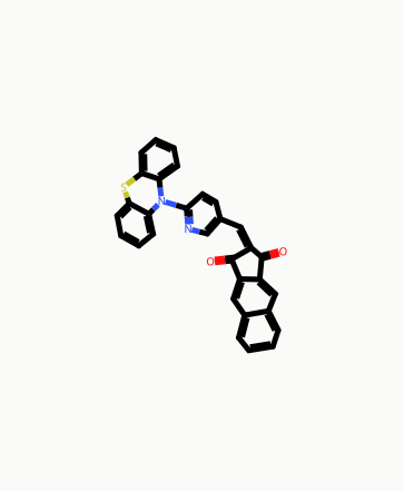 O=C1C(=Cc2ccc(N3c4ccccc4Sc4ccccc43)nc2)C(=O)c2cc3ccccc3cc21